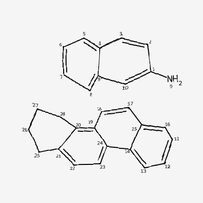 Nc1ccc2ccccc2c1.c1ccc2c(c1)ccc1c3c(ccc12)CCCC3